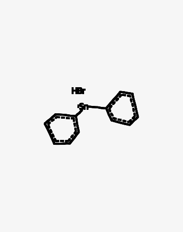 Br.c1cc[c]([Sn][c]2ccccc2)cc1